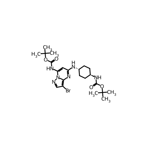 CC(C)(C)OC(=O)Nc1cc(N[C@H]2CC[C@H](NC(=O)OC(C)(C)C)CC2)nc2c(Br)cnn12